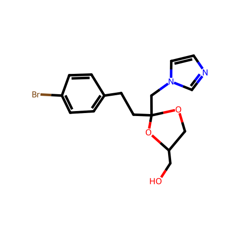 OCC1COC(CCc2ccc(Br)cc2)(Cn2ccnc2)O1